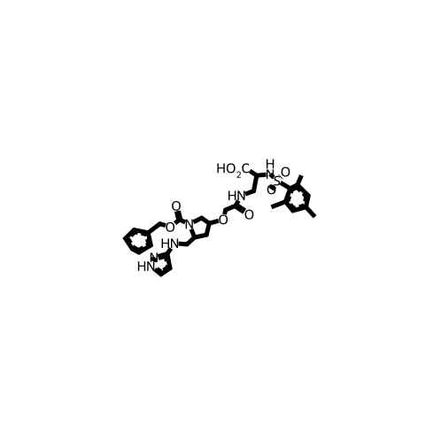 Cc1cc(C)c(S(=O)(=O)NC(CNC(=O)COC2CC(CNc3cc[nH]n3)N(C(=O)OCc3ccccc3)C2)C(=O)O)c(C)c1